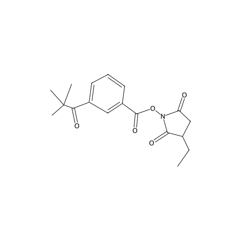 CCC1CC(=O)N(OC(=O)c2cccc(C(=O)C(C)(C)C)c2)C1=O